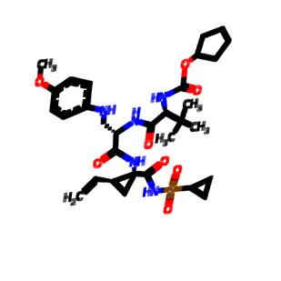 C=C[C@@H]1C[C@]1(NC(=O)[C@H](CNc1ccc(OC)cc1)NC(=O)[C@@H](NC(=O)OC1CCCC1)C(C)(C)C)C(=O)NS(=O)(=O)C1CC1